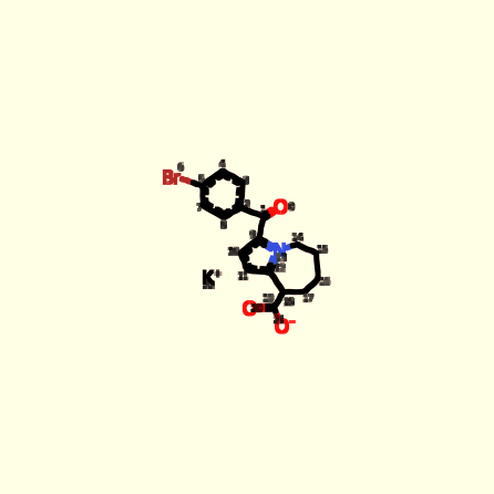 O=C(c1ccc(Br)cc1)c1ccc2n1CCCCC2C(=O)[O-].[K+]